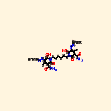 CCCCCN=Nc1c(C)c(C(N)=O)c(=O)n(CCCCCCn2c(O)c(N=NCCCCC)c(C)c(C(N)=O)c2=O)c1O